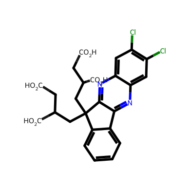 O=C(O)CC(CC1(CC(CC(=O)O)C(=O)O)c2ccccc2-c2nc3cc(Cl)c(Cl)cc3nc21)C(=O)O